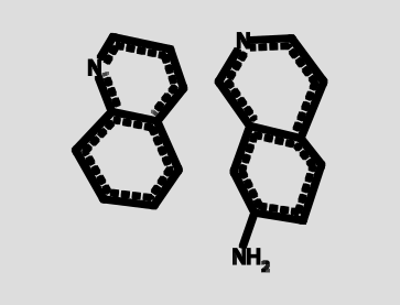 Nc1ccc2ccncc2c1.c1ccc2ncccc2c1